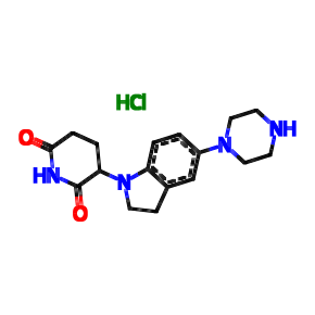 Cl.O=C1CCC(N2CCc3cc(N4CCNCC4)ccc32)C(=O)N1